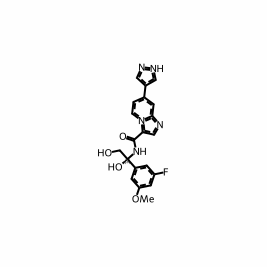 COc1cc(F)cc([C@](O)(CO)NC(=O)c2cnc3cc(-c4cn[nH]c4)ccn23)c1